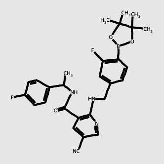 CC(NC(=O)c1cc(C#N)cnc1NCc1ccc(B2OC(C)(C)C(C)(C)O2)c(F)c1)c1ccc(F)cc1